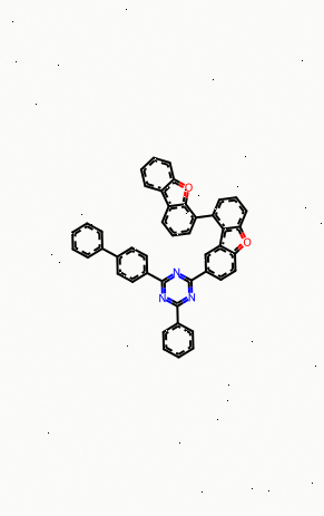 c1ccc(-c2ccc(-c3nc(-c4ccccc4)nc(-c4ccc5oc6cccc(-c7cccc8c7oc7ccccc78)c6c5c4)n3)cc2)cc1